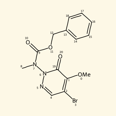 COc1c(Br)cnn(N(C)C(=O)OCc2ccccc2)c1=O